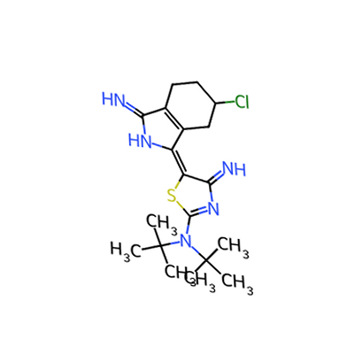 CC(C)(C)N(C1=NC(=N)C(=C2NC(=N)C3=C2CC(Cl)CC3)S1)C(C)(C)C